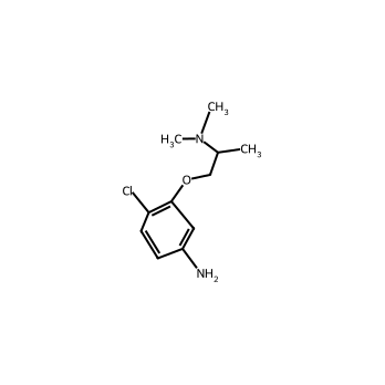 CC(COc1cc(N)ccc1Cl)N(C)C